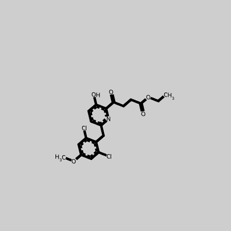 CCOC(=O)CCC(=O)c1nc(Cc2c(Cl)cc(OC)cc2Cl)ccc1O